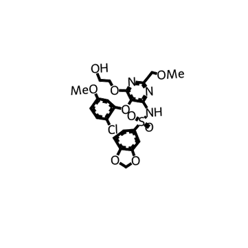 COCc1nc(NS(=O)(=O)c2ccc3c(c2)OCO3)c(Oc2cc(OC)ccc2Cl)c(OCCO)n1